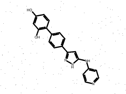 Oc1ccc(-c2ccc(-c3cc(Nc4ccncc4)[nH]n3)cc2)c(O)c1